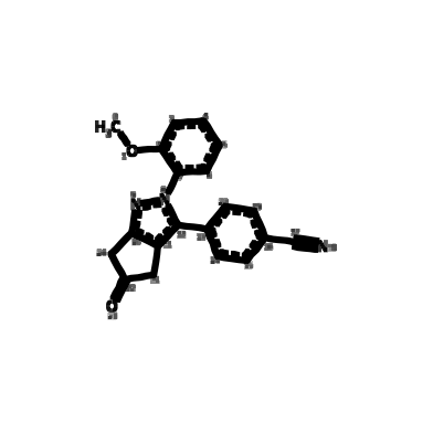 COc1ccccc1-n1nc2c(c1-c1ccc(C#N)cc1)CC(=O)C2